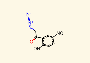 [N-]=[N+]=NCC(=O)c1cc(N=O)ccc1N=O